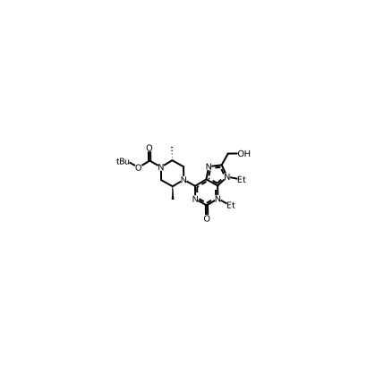 CCn1c(CO)nc2c(N3C[C@@H](C)N(C(=O)OC(C)(C)C)C[C@@H]3C)nc(=O)n(CC)c21